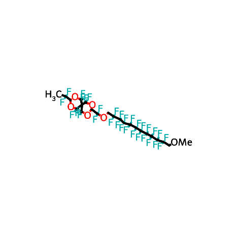 COCC(F)(F)C(F)(F)C(F)(F)C(F)(F)C(F)(F)C(F)(F)C(F)(F)C(F)(F)C(F)(F)C(F)(F)COC(F)(F)C1OC(F)(F)C2(C(F)(F)OC(C(C)(F)F)OC2(F)F)C(F)(F)O1